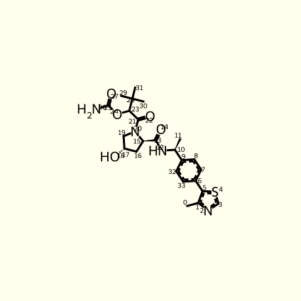 Cc1ncsc1-c1ccc([C@H](C)NC(=O)[C@H]2C[C@H](O)CN2C(=O)C(OC(N)=O)C(C)(C)C)cc1